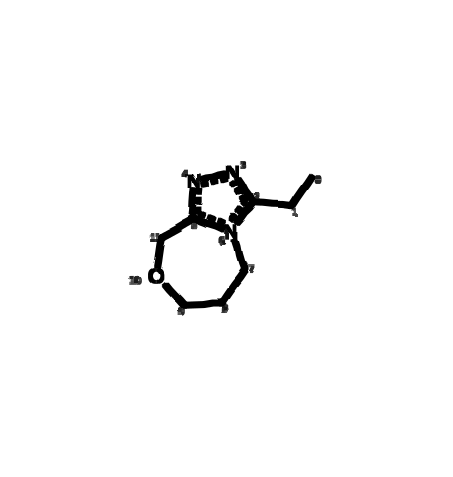 CCc1nnc2n1CCCOC2